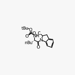 CCCC[C@H](NC(=O)OC(C)(C)C)C(=O)N1c2ccccc2CC1C(=O)O